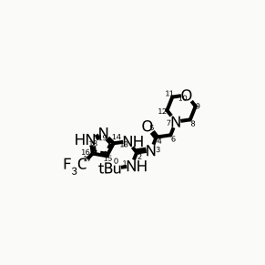 CC(C)(C)N/C(=N/C(=O)CN1CCOCC1)Nc1cc(C(F)(F)F)[nH]n1